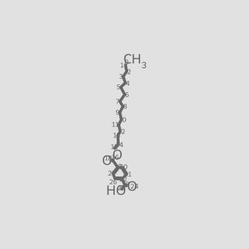 CCCCCCCCCCCCCCCCOC(=O)c1ccc(C(=O)O)cc1